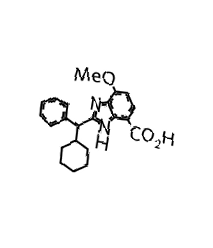 COc1ccc(C(=O)O)c2[nH]c(C(c3ccccc3)C3CCCCC3)nc12